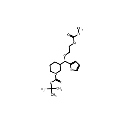 COC(=O)NCCO[C@@H](c1cccs1)C1CCCN(C(=O)OC(C)(C)C)C1